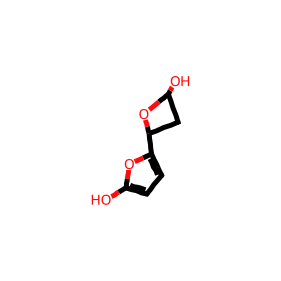 Oc1ccc(C2CC(O)O2)o1